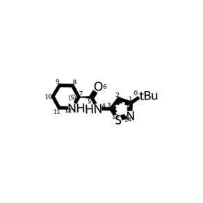 CC(C)(C)c1cc(NC(=O)[C@@H]2CCCCN2)sn1